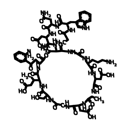 CCC(=O)NC(Cc1c[nH]c2ccccc12)C(=O)NC(CC(N)=O)C(=O)NC(CC(=O)O)C(=O)NC1C(=O)NCC(=O)NC(CCCN)C(=O)NC(CC(=O)O)C(=O)NC(C)C(=O)NC(CC(=O)O)C(=O)NCC(=O)NC(CO)C(=O)NC(C(C)CC(=O)O)C(=O)NC(CC(=O)c2ccccc2N)C(=O)OC1C